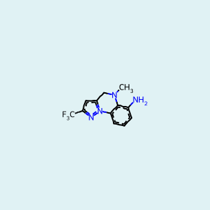 CN1Cc2cc(C(F)(F)F)nn2-c2cccc(N)c21